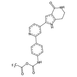 O=C(Nc1ccc(-c2cc(-c3cc4c([nH]3)CCNC4=O)ccn2)cc1)OC(=O)C(F)(F)F